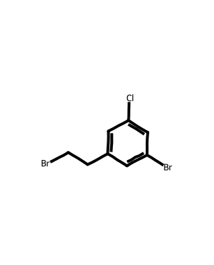 Clc1cc(Br)cc(CCBr)c1